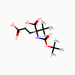 CC(C)(C)OC(=O)N[C@](CCC(=O)O)(C(=O)O)C(C)(C)C